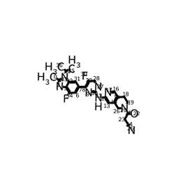 Cc1nc2c(F)cc(-c3nc(Nc4cc5c(cn4)CCN(C(=O)CC#N)C5)ncc3F)cc2n1C(C)C